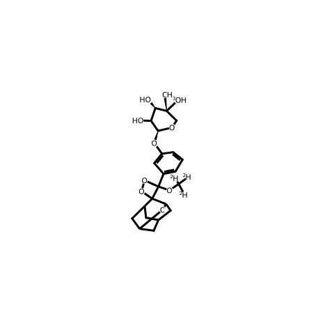 [2H]C([2H])([2H])OC1(c2cccc(O[C@@H]3OC[C@@](C)(O)[C@H](O)C3O)c2)OOC12C1CC3CC(C1)CC2C3